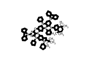 CC(C)(C)c1cc2cc3c(cc2n1-c1ccccc1)N(c1ccccc1)c1nc(-n2c4ccccc4c4ccccc42)nc2c1B3c1cc3c(cc1O2)N(c1ccccc1)c1cc(-n2c4ccccc4c4ccccc42)cc2c1B3c1ccccc1N2c1ccc2c(c1)C(C)(C)CCC2(C)C